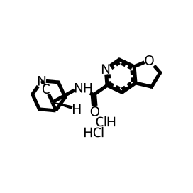 Cl.Cl.O=C(N[C@H]1CN2CCC1CC2)c1cc2c(cn1)OCC2